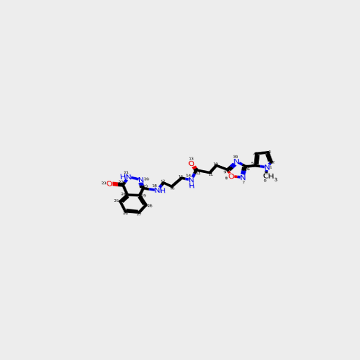 Cn1cccc1-c1noc(CCC(=O)NCCCNc2n[nH]c(=O)c3ccccc23)n1